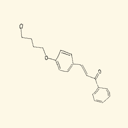 O=C(C=Cc1ccc(OCCCCCl)cc1)c1ccccc1